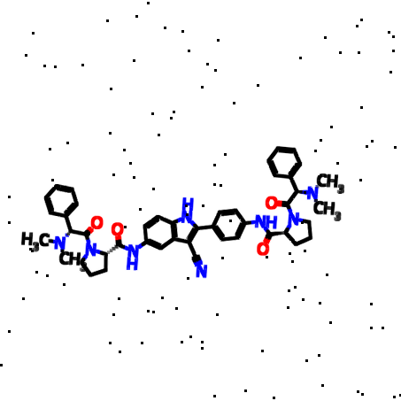 CN(C)[C@@H](C(=O)N1CCC[C@H]1C(=O)Nc1ccc(-c2[nH]c3ccc(NC(=O)[C@@H]4CCCN4C(=O)[C@@H](c4ccccc4)N(C)C)cc3c2C#N)cc1)c1ccccc1